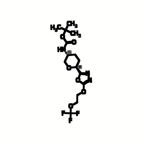 CC(C)(C)OC(=O)N[C@@H]1CC[C@@H](c2nnc(OCCOC(F)(F)F)o2)OC1